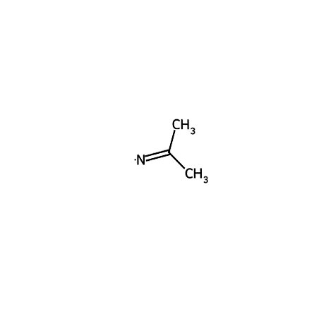 CC(C)=[N]